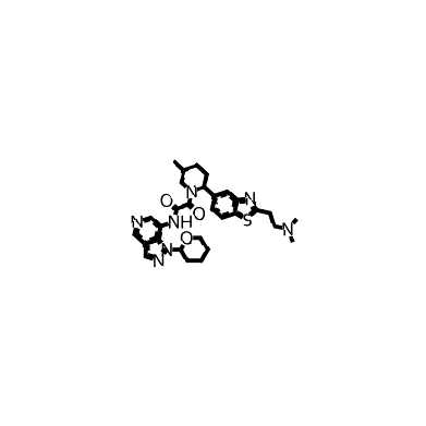 CC1CCC(c2ccc3sc(CCN(C)C)nc3c2)N(C(=O)C(=O)Nc2cncc3cnn(C4CCCCO4)c23)C1